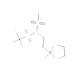 CC1(CCN(S(C)(=O)=O)S(=O)(=O)C(F)(F)F)OCCO1